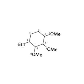 C[CH]C1CCC(OC)C(OC)C1OC